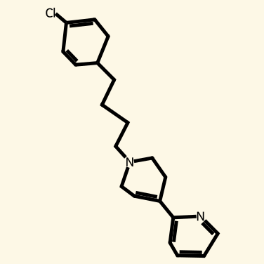 ClC1=CCC(CCCCN2CC=C(c3ccccn3)CC2)C=C1